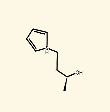 C[C@H](O)[CH]C[SH]1C=CC=C1